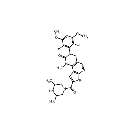 COc1cc(OC)c(F)c(N2Cc3cnc4[nH]c(C(=O)N5CC(C)NC(C)C5)cc4c3N(C)C2=O)c1F